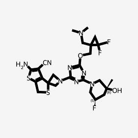 CN(C)CC1(COc2nc(N3CC4(C3)SCc3sc(N)c(C#N)c34)nc(N3C[C@@H](F)C[C@@](C)(O)C3)n2)CC1(F)F